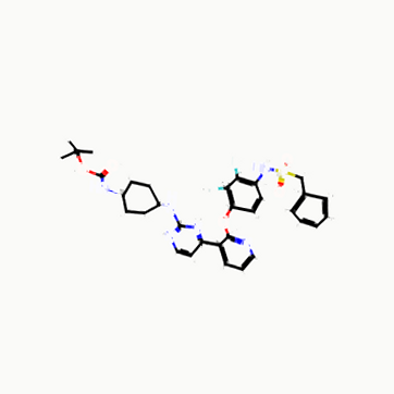 CC(C)(C)OC(=O)N[C@H]1CC[C@H](Nc2nccc(-c3cccnc3Oc3ccc(NS(=O)(=O)Cc4ccccc4)c(F)c3F)n2)CC1